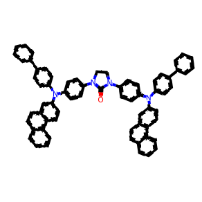 O=C1N(c2ccc(N(c3ccc(-c4ccccc4)cc3)c3ccc4c(ccc5ccccc54)c3)cc2)CCN1c1ccc(N(c2ccc(-c3ccccc3)cc2)c2ccc3c(ccc4ccccc43)c2)cc1